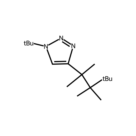 CC(C)(C)n1cc(C(C)(C)C(C)(C)C(C)(C)C)nn1